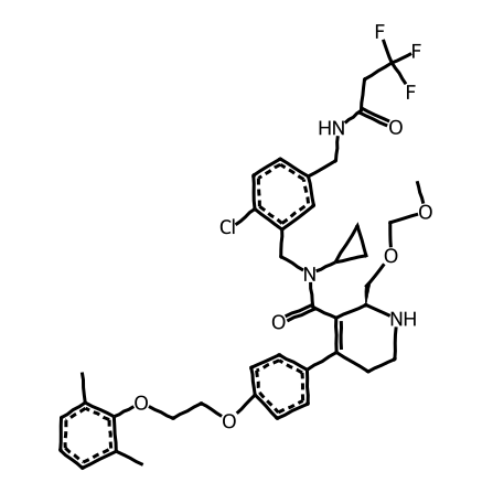 COCOC[C@H]1NCCC(c2ccc(OCCOc3c(C)cccc3C)cc2)=C1C(=O)N(Cc1cc(CNC(=O)CC(F)(F)F)ccc1Cl)C1CC1